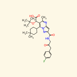 Cc1nc2cc(C(=O)NCC(=O)Cc3ccc(F)cc3)nn2c(C2CCC(C)(C)CC2)c1C(OC(C)(C)C)C(=O)O